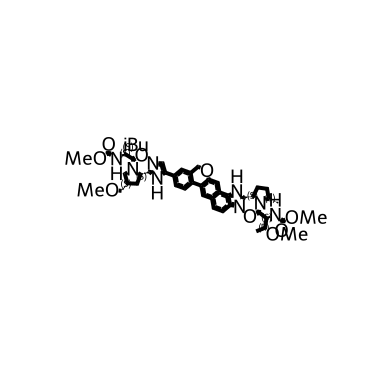 CC[C@H](C)[C@H](NC(=O)OC)C(=O)N1C[C@@H](COC)C[C@H]1c1ncc(-c2ccc3c(c2)COc2cc4c(ccc5nc([C@@H]6CC[C@H](C)N6C(=O)[C@@H](NC(=O)OC)[C@@H](C)OC)[nH]c54)cc2-3)[nH]1